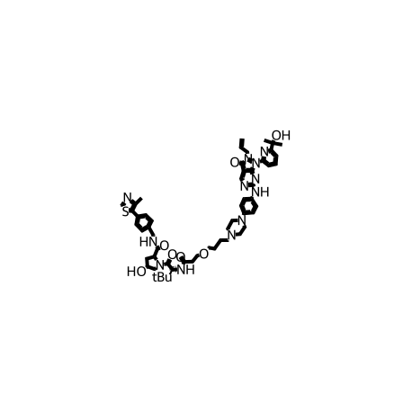 C=CCn1c(=O)c2cnc(Nc3ccc(N4CCN(CCCCOCCC(=O)N[C@H](C(=O)N5CC(O)CC5C(=O)NCc5ccc(-c6scnc6C)cc5)C(C)(C)C)CC4)cc3)nc2n1-c1cccc(C(C)(C)O)n1